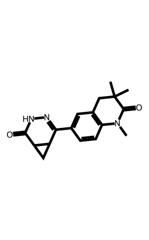 CN1C(=O)C(C)(C)Cc2cc(C3=NNC(=O)C4CC34)ccc21